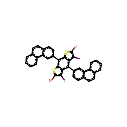 Brc1sc2c(-c3ccc4ccc5ccccc5c4c3)c3sc(Br)c(I)c3c(-c3ccc4ccc5ccccc5c4c3)c2c1I